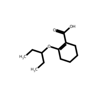 CCC(CC)OC1=C(C(=O)O)CCCC1